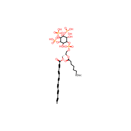 CC#CC#CC#CC#CC#CC#CC(=O)OC[C@H](COP(=O)(O)OC1C(O)[C@@H](OP(=O)(O)O)C(OP(=O)(O)O)[C@@H](OP(=O)(O)O)[C@H]1O)OC(=O)CCCCCCCCCCCCCCC